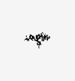 CC(F)Oc1cccc(-n2nc(-c3ccn(C)n3)c3cc(C(=O)NC4(C)CS(=O)(=O)C4)ccc32)c1